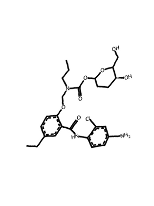 CCCN(COc1ccc(CC)cc1C(=O)Nc1ccc(N)cc1Cl)C(=O)OC1CC[C@H](O)C(CO)O1